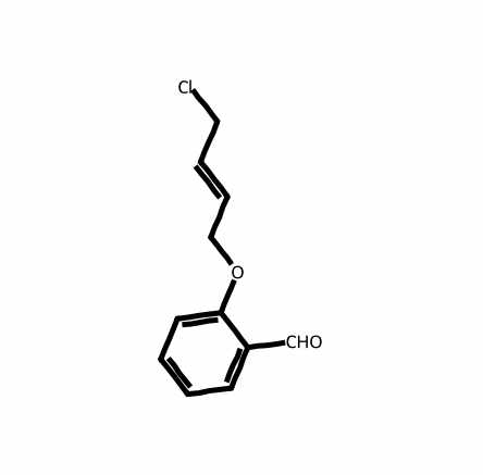 O=Cc1ccccc1OCC=CCCl